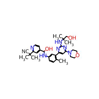 Cc1ccc(NC(O)c2ccnc(C(C)(C)C#N)c2)cc1-c1cc(N2CCOCC2)nc(NC(C)(C)CO)n1